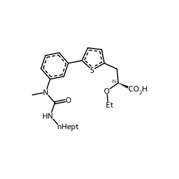 CCCCCCCNC(=O)N(C)c1cccc(-c2ccc(C[C@H](OCC)C(=O)O)s2)c1